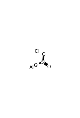 O=[Si]([O-])[O-].[Al+3].[Cl-]